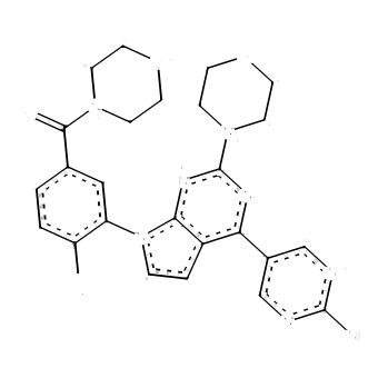 Nc1ncc(-c2nc(N3CCOCC3)nc3c2ccn3-c2cc(C(=O)N3CCOCC3)ccc2F)cn1